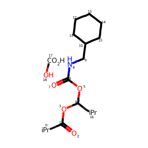 CC(C)C(=O)OC(OC(=O)NCC1CCCCC1)C(C)C.O=C(O)O